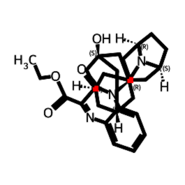 CCOC(=O)c1nc2ccccc2n([C@H]2C[C@H]3CC[C@@H](C2)N3C23C[C@H]4C[C@@H](C2)C[C@](O)(C4)C3)c1=O